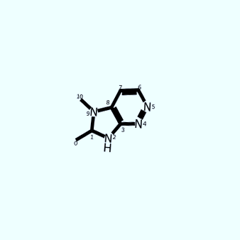 CC1Nc2nnccc2N1C